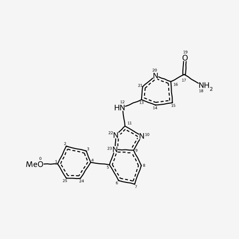 COc1ccc(-c2cccc3nc(Nc4ccc(C(N)=O)nc4)nn23)cc1